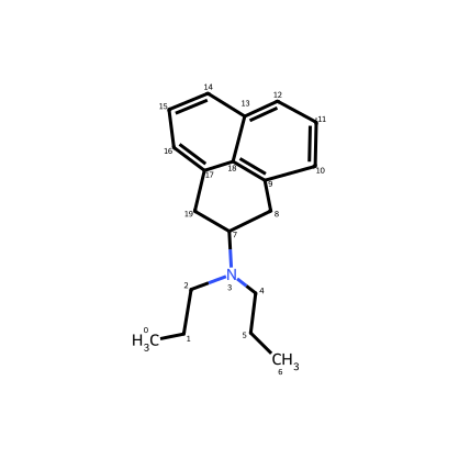 CCCN(CCC)C1Cc2c[c]cc3cccc(c23)C1